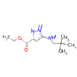 CCOC(=O)c1cc(NCC(C)(C)C)[nH]n1